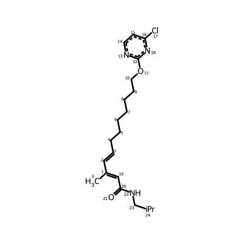 CC(C=CCCCCCCCOc1nccc(Cl)n1)=CC(=O)NCC(C)C